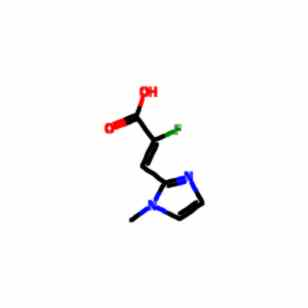 Cn1ccnc1/C=C(\F)C(=O)O